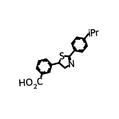 CC(C)c1ccc(C2=NCC(c3cccc(C(=O)O)c3)S2)cc1